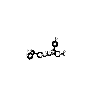 CC(=O)N1CCc2c(c(-c3ccc(Br)cc3)nn2CC(O)CN2CCC(c3c[nH]c4ncccc34)CC2)C1